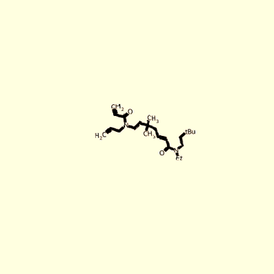 C=CCN(CCC(C)(C)CC=CC(=O)N(CC)CCC(C)(C)C)C(=O)C=C